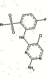 CC(C)S(=O)(=O)c1ccc(F)cc1Nc1nc(N)ncc1Cl